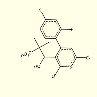 CC(C)(C(=O)O)C(O)c1c(-c2ccc(F)cc2F)cc(Cl)nc1Cl